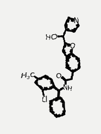 Cc1ccc(C(NC(=O)Cc2ccc3oc(C(O)c4ccncc4)cc3c2)c2ccccc2)c(Cl)c1